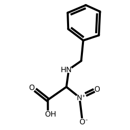 O=C(O)C(NCc1ccccc1)[N+](=O)[O-]